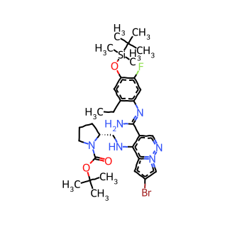 CCc1cc(O[Si](C)(C)C(C)(C)C)c(F)cc1/N=C(\N)c1cnn2cc(Br)cc2c1NC[C@H]1CCCN1C(=O)OC(C)(C)C